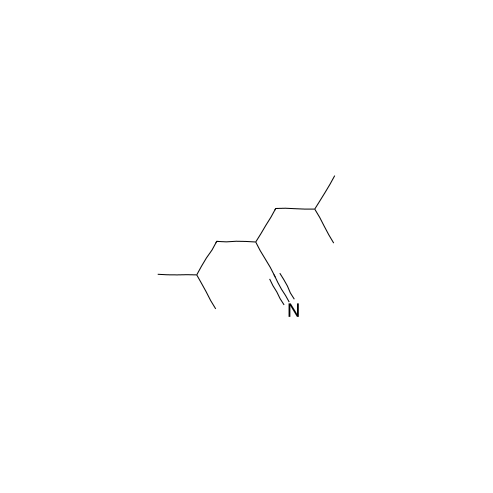 CC(C)CC(C#N)CC(C)C